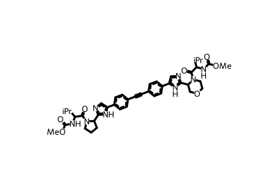 COC(=O)NC(C(=O)N1CCCC1c1ncc(-c2ccc(C#Cc3ccc(-c4cnc(C5COCCN5C(=O)C(NC(=O)OC)C(C)C)[nH]4)cc3)cc2)[nH]1)C(C)C